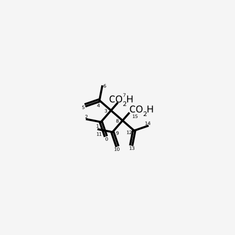 C=C(C)C(C(=C)C)(C(=O)O)C(C(=C)C)(C(=C)C)C(=O)O